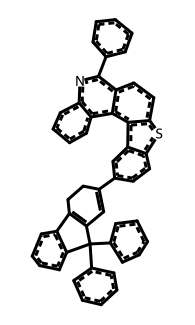 C1=C(c2ccc3sc4ccc5c(-c6ccccc6)nc6ccccc6c5c4c3c2)CCC2=C1C(c1ccccc1)(c1ccccc1)c1ccccc12